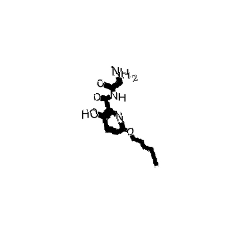 CCCCCOc1ccc(O)c(C(=O)NC(=O)CN)n1